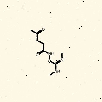 C/N=C(/NC)ONC(=O)CCC(C)=O